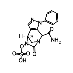 NC(=O)C1c2c(cnn2-c2ccccc2)[C@H]2CN1C(=O)N2OS(=O)(=O)O